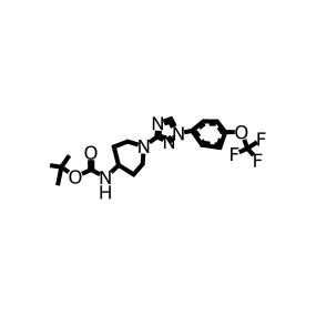 CC(C)(C)OC(=O)NC1CCN(c2ncn(-c3ccc(OC(F)(F)F)cc3)n2)CC1